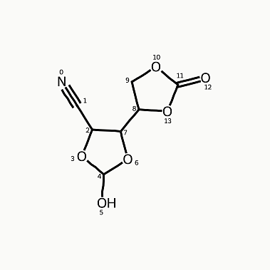 N#CC1OC(O)OC1C1COC(=O)O1